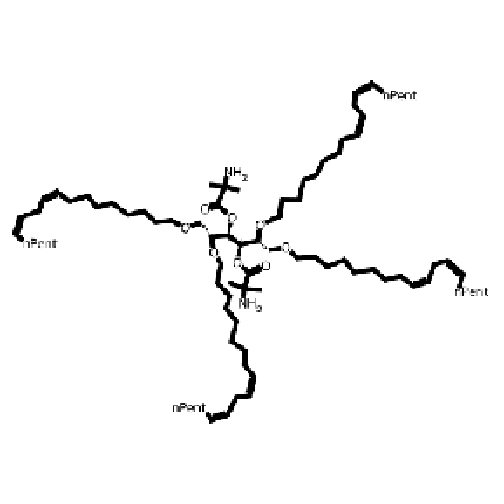 CCCCC/C=C\C/C=C\CCCCCCCCOC[C@@H](OCCCCCCCC/C=C\C/C=C\CCCCC)[C@@H](OC(=O)C(C)(C)N)[C@H](OC(=O)C(C)(C)N)[C@@H](COCCCCCCCC/C=C\C/C=C\CCCCC)OCCCCCCCC/C=C\C/C=C\CCCCC